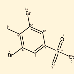 CCS(=O)(=O)c1cc(Br)c(C)c(Br)c1